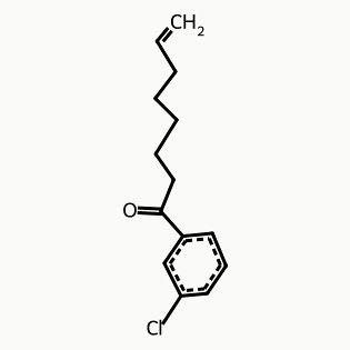 C=CCCCCCC(=O)c1cccc(Cl)c1